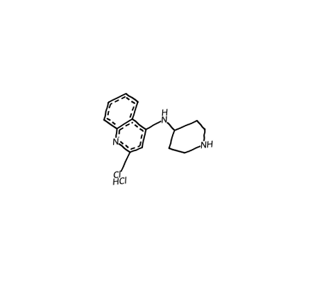 Cl.Clc1cc(NC2CCNCC2)c2ccccc2n1